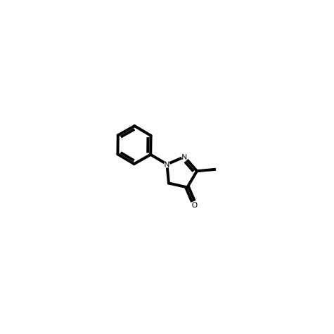 CC1=NN(c2ccccc2)CC1=O